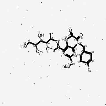 CCCCSc1nc(N(C)O[C@H](C)[C@H](O)[C@@H](O)[C@@H](O)CO)c2[nH]c(=O)c(=O)n(Cc3ccc(F)cc3)c2n1